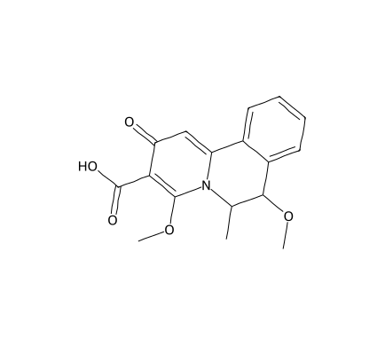 COc1c(C(=O)O)c(=O)cc2n1C(C)C(OC)c1ccccc1-2